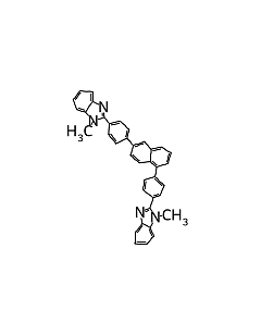 Cn1c(-c2ccc(-c3ccc4c(-c5ccc(-c6nc7ccccc7n6C)cc5)cccc4c3)cc2)nc2ccccc21